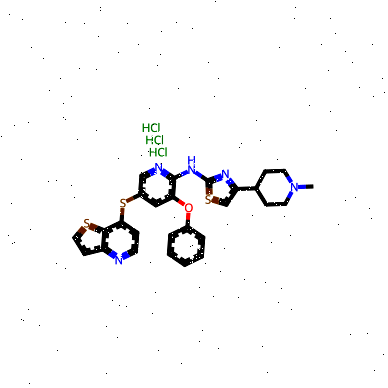 CN1CCC(c2csc(Nc3ncc(Sc4ccnc5ccsc45)cc3Oc3ccccc3)n2)CC1.Cl.Cl.Cl